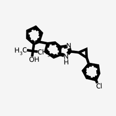 CC(C)(O)c1ccccc1-c1ccc2[nH]c(C3CC3c3ccc(Cl)cc3)nc2c1